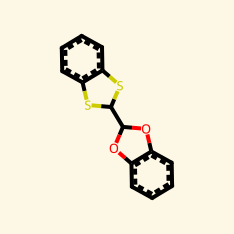 c1ccc2c(c1)OC(C1Sc3ccccc3S1)O2